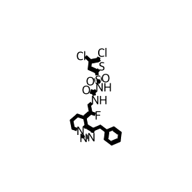 O=C(NCC(F)=C1CCCn2nnc(Cc3ccccc3)c21)NS(=O)(=O)c1cc(Cl)c(Cl)s1